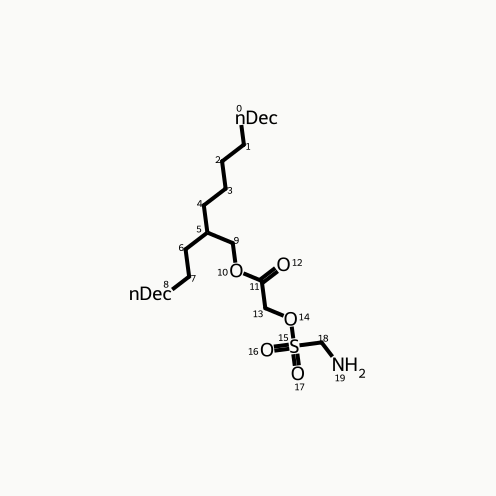 CCCCCCCCCCCCCCC(CCCCCCCCCCCC)COC(=O)COS(=O)(=O)CN